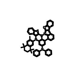 Cc1cc2c(cc1N1c3cc(N(c4ccccc4)c4ccccc4)cc4c3B(c3sc5ccccc5c31)n1c3oc5ccccc5c3c3cccc-4c31)C(C)(C)CCC2(C)C